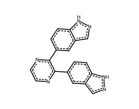 c1cnc(-c2ccc3[nH]ncc3c2)c(-c2ccc3[nH]ncc3c2)n1